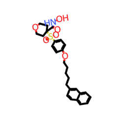 O=C(NO)C1(S(=O)(=O)c2ccc(OCCCCCc3ccc4ccccc4c3)cc2)CCOCC1